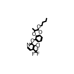 CCCCOC(=O)C(C)Oc1ccccc1Oc1nccc(C(F)(F)F)c1Cl